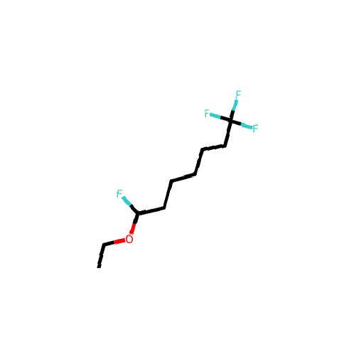 CCOC(F)CCCCCC(F)(F)F